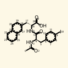 CC(=O)N[C@H](Cc1ccc(I)cc1)C(=O)N[C@H](Cc1ccc2ccccc2c1)C(=O)O